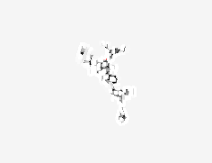 CNc1c(COc2cc(OCc3cncc(C#N)c3)c(CNC(C)CO)cc2Cl)cccc1-c1cccc(NCCCCN2CCCC2)c1C=N